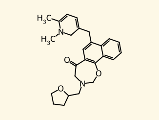 CC1=CC=C(Cc2cc3c(c4ccccc24)OCN(CC2CCCO2)CC3=O)CN1C